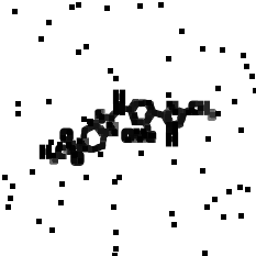 COc1cc(Nc2nc3c(s2)CN(S(C)(=O)=O)CC3)ccc1-c1nc(C)c[nH]1